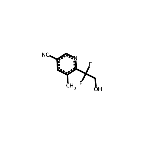 Cc1cc(C#N)cnc1C(F)(F)CO